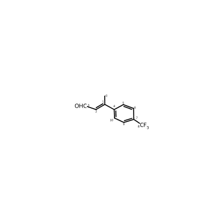 CC(=CC=O)c1ccc(C(F)(F)F)cc1